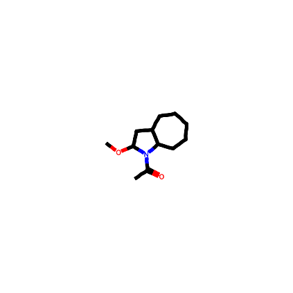 COC1CC2CCCCCC2N1C(C)=O